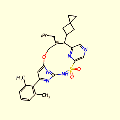 Cc1cccc(C)c1-c1cc2nc(n1)NS(=O)(=O)c1cncc(n1)C(C1CC3(CC3)C1)[C@H](CC(C)C)CO2